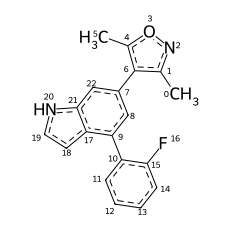 Cc1noc(C)c1-c1cc(-c2ccccc2F)c2cc[nH]c2c1